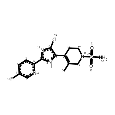 CC1=C(c2[nH]c(-c3ccc(F)cn3)nc2Cl)CCN(S(N)(=O)=O)C1